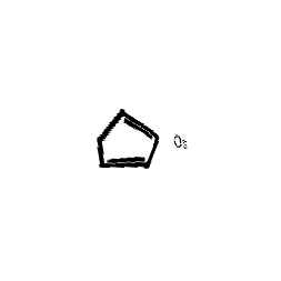 C1=CCC=C1.[Os]